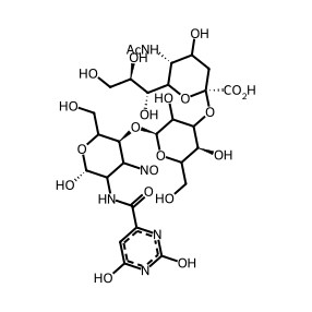 CC(=O)N[C@@H]1C(O)C[C@](OC2C(O)[C@H](O[C@@H]3C(CO)O[C@@H](O)C(NC(=O)c4cc(O)nc(O)n4)C3N=O)OC(CO)[C@@H]2O)(C(=O)O)OC1[C@H](O)[C@H](O)CO